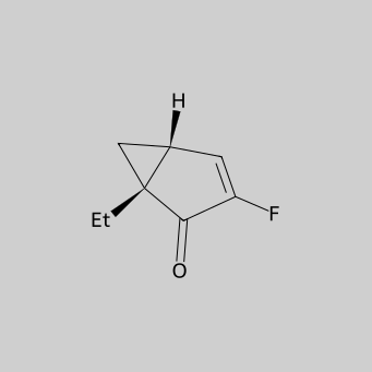 CC[C@@]12C[C@@H]1C=C(F)C2=O